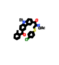 CCn1c2ccc(C(=O)C3=C(C)CCC=C3)cc2c2cc(C(=O)/C(CSc3ccc(Cl)cc3)=N/OC(C)=O)ccc21